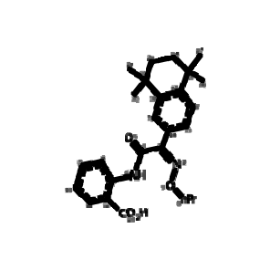 CCCON=C(C(=O)Nc1ccccc1C(=O)O)c1ccc2c(c1)C(C)(C)CCC2(C)C